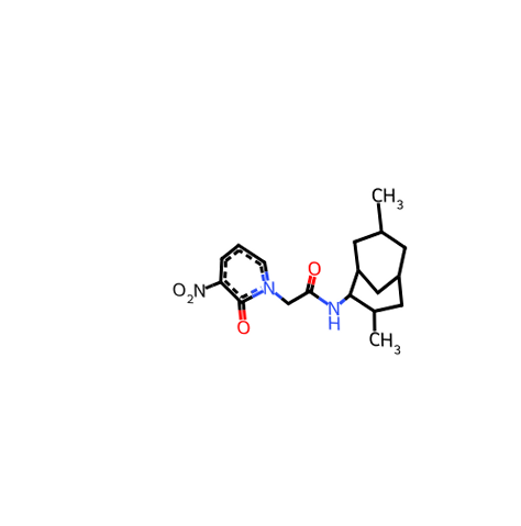 CC1CC2CC(C)C(NC(=O)Cn3cccc([N+](=O)[O-])c3=O)C(C1)C2